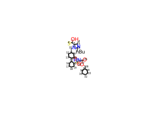 CCCCc1nc(C)c(C(O)=S)n1Cc1ccc(-c2ccccc2S(=O)(=O)NC(=O)OCc2ccccc2)cc1